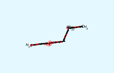 CCCCCCCCCCCCCCCCCCCCCCCC[C@@H](C(=O)O)[C@H](O)CCCCCCCCCCCCCCCCC[C@@H]1CC1CCCCCCCCCCCCCCCC[C@H](OC)[C@H](C)CCCCCCCCCCCCCCCCCC